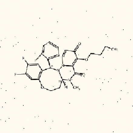 CCCCOc1c2n(ccc1=O)N1[C@H](c3ccccc3F)c3cc(F)c(F)cc3OCC[C@H]1N(C)C2=O